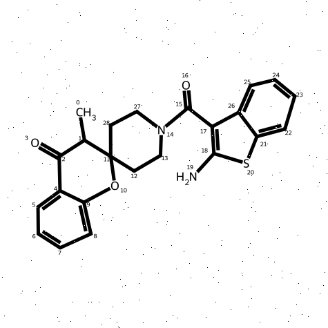 CC1C(=O)c2ccccc2OC12CCN(C(=O)c1c(N)sc3ccccc13)CC2